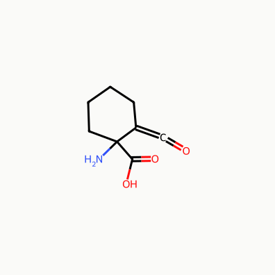 NC1(C(=O)O)CCCCC1=C=O